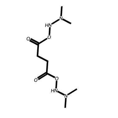 CN(C)NOC(=O)CCC(=O)ONN(C)C